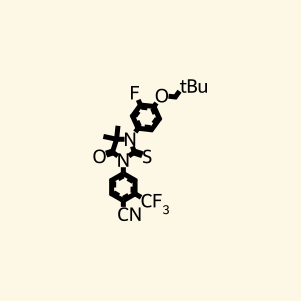 CC(C)(C)COc1ccc(N2C(=S)N(c3ccc(C#N)c(C(F)(F)F)c3)C(=O)C2(C)C)cc1F